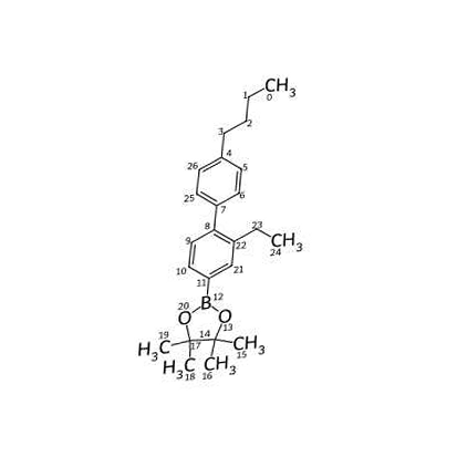 CCCCc1ccc(-c2ccc(B3OC(C)(C)C(C)(C)O3)cc2CC)cc1